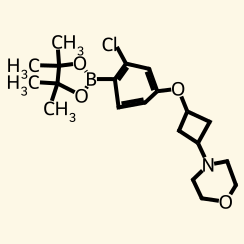 CC1(C)OB(c2ccc(OC3CC(N4CCOCC4)C3)cc2Cl)OC1(C)C